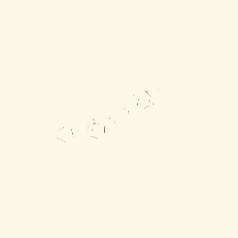 Cc1c(Cc2ccccc2)nnc(N2CCN(c3cnc(C(C)(C)O)cn3)CC2)c1C